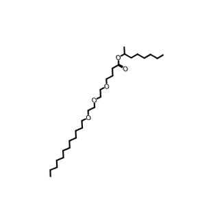 CCCCCCCCCCCCOCCOCCOCCCC(=O)OC(C)CCCCCC